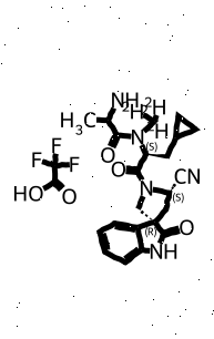 O=C(O)C(F)(F)F.[2H]C([2H])([2H])N(C(=O)C(C)N)[C@@H](CC1CC1)C(=O)N1C[C@]2(C[C@H]1C#N)C(=O)Nc1ccccc12